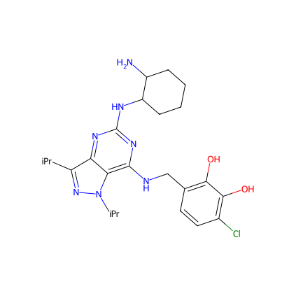 CC(C)c1nn(C(C)C)c2c(NCc3ccc(Cl)c(O)c3O)nc(NC3CCCCC3N)nc12